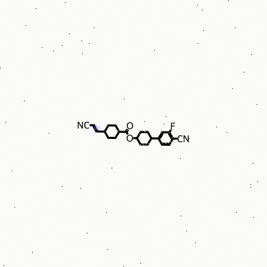 N#C/C=C/C1CCC(C(=O)OC2CCC(c3ccc(C#N)c(F)c3)CC2)CC1